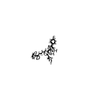 CN1CC(C(=O)N[C@@H](CCCCCC(=O)c2ncco2)c2nc(-c3ccc(F)cc3)c[nH]2)C1